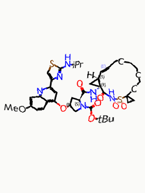 COc1ccc2c(O[C@@H]3C[C@@H](C(=O)N[C@]45C[C@H]4/C=C/CCCCCCCC4(CC4)S(=O)(=O)NC5=O)N(C(=O)OC(C)(C)C)C3)cc(-c3csc(NC(C)C)n3)nc2c1